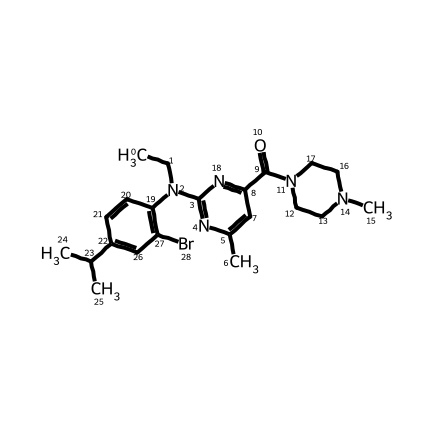 CCN(c1nc(C)cc(C(=O)N2CCN(C)CC2)n1)c1ccc(C(C)C)cc1Br